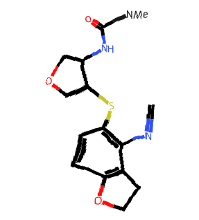 C=Nc1c(SC2COCC2NC(=O)NC)ccc2c1CCO2